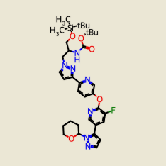 CC(C)(C)OC(=O)NC(CO[Si](C)(C)C(C)(C)C)Cn1ccc(-c2ccc(Oc3ncc(-c4ccnn4C4CCCCO4)cc3F)cn2)n1